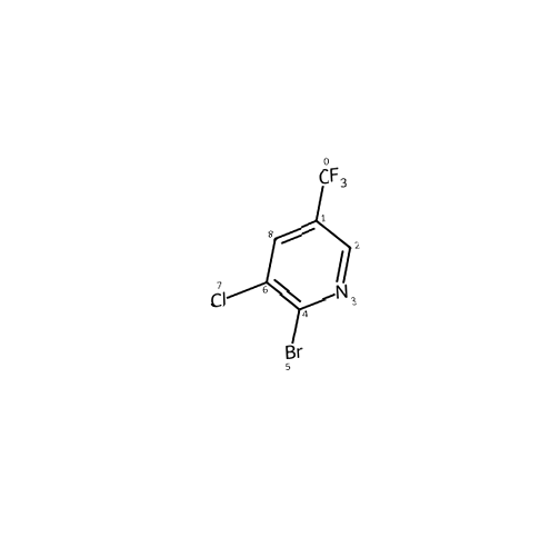 FC(F)(F)c1cnc(Br)c(Cl)c1